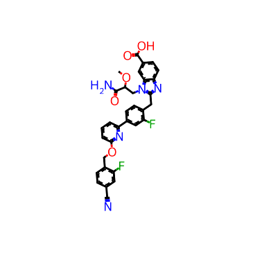 COC(Cn1c(Cc2ccc(-c3cccc(OCc4ccc(C#N)cc4F)n3)cc2F)nc2ccc(C(=O)O)cc21)C(N)=O